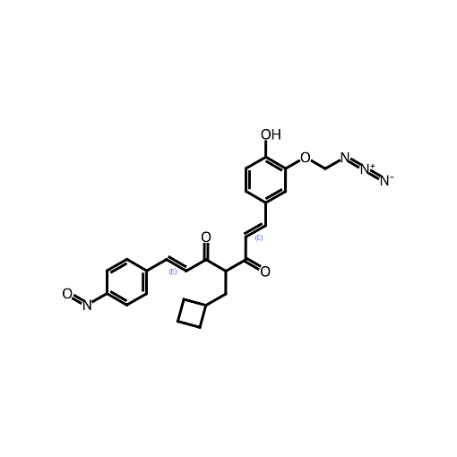 [N-]=[N+]=NCOc1cc(/C=C/C(=O)C(CC2CCC2)C(=O)/C=C/c2ccc(N=O)cc2)ccc1O